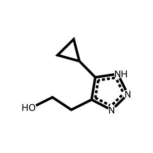 OCCc1nn[nH]c1C1CC1